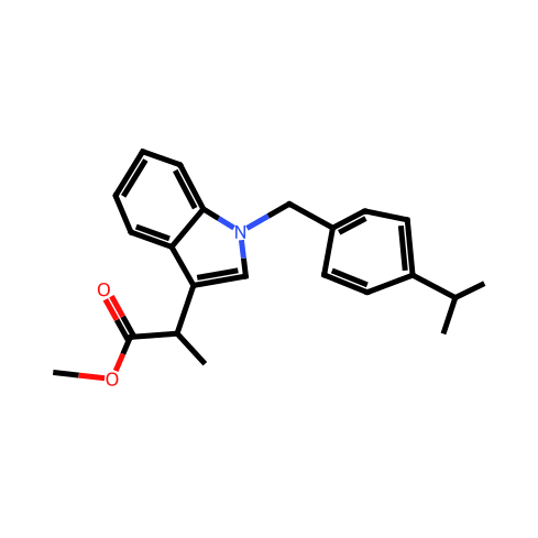 COC(=O)C(C)c1cn(Cc2ccc(C(C)C)cc2)c2ccccc12